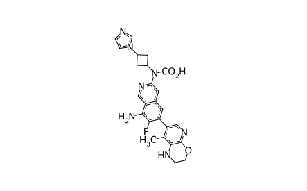 Cc1c(-c2cc3cc(N(C(=O)O)C4CC(n5ccnc5)C4)ncc3c(N)c2F)cnc2c1NCCO2